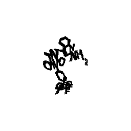 CC1C(=O)N(c2ccc(S(=O)(=O)C(F)(F)F)cc2)C(=O)N1Cc1cc(N)nc2ccccc12